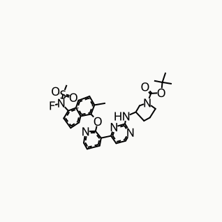 Cc1ccc2c(N(F)S(C)(=O)=O)cccc2c1Oc1ncccc1-c1ccnc(NC2CCCN(C(=O)OC(C)(C)C)C2)n1